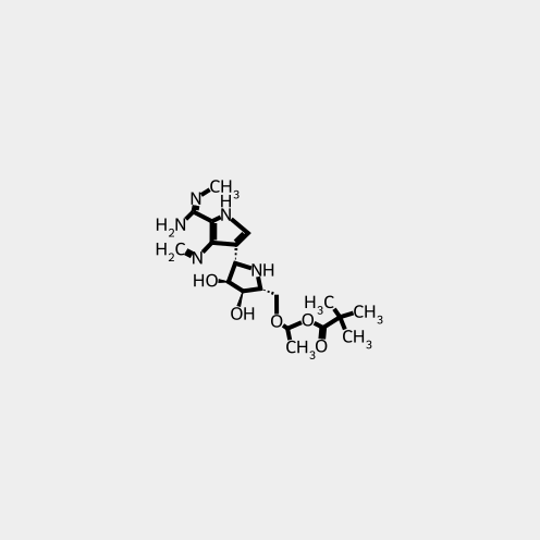 C=Nc1c([C@@H]2N[C@H](COC(C)OC(=O)C(C)(C)C)[C@@H](O)[C@H]2O)c[nH]c1/C(N)=N\C